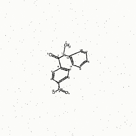 CN(C(=O)c1ccc([N+](=O)[O-])cc1)c1ccccc1